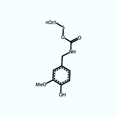 CCCCCCCCSOC(=O)NCc1ccc(O)c(OC)c1